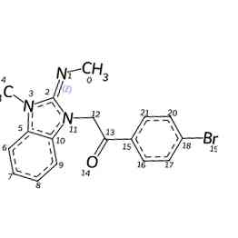 C/N=c1/n(C)c2ccccc2n1CC(=O)c1ccc(Br)cc1